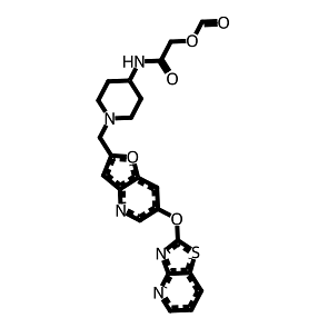 O=COCC(=O)NC1CCN(Cc2cc3ncc(Oc4nc5ncccc5s4)cc3o2)CC1